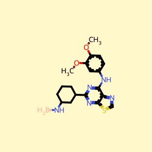 BNC1CCCC(c2nc(Nc3ccc(OC)c(OC)c3)c3ncsc3n2)C1